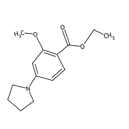 CCOC(=O)c1ccc(N2CCCC2)cc1OC